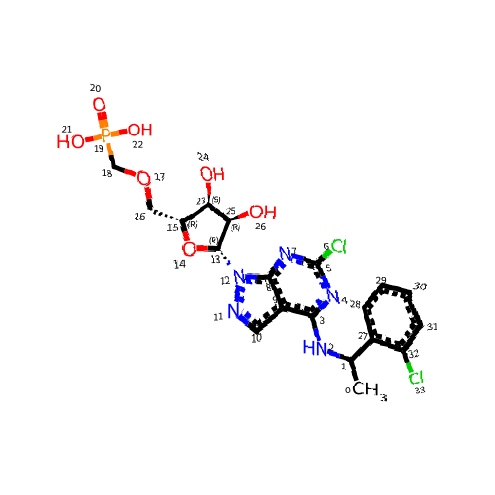 CC(Nc1nc(Cl)nc2c1cnn2[C@@H]1O[C@H](COCP(=O)(O)O)[C@@H](O)[C@H]1O)c1ccccc1Cl